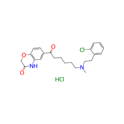 CN(CCCCCC(=O)c1ccc2c(c1)NC(=O)CO2)CCc1ccccc1Cl.Cl